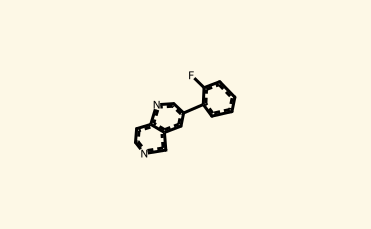 Fc1ccccc1-c1cnc2ccncc2c1